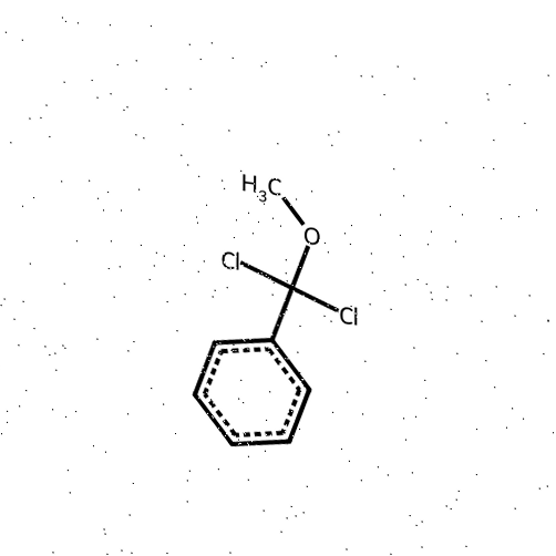 COC(Cl)(Cl)c1ccccc1